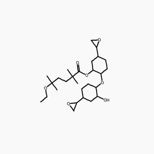 CCOC(C)(C)CCC(C)(C)C(=O)OC1CC(C2CO2)CCC1OC1CCC(C2CO2)CC1O